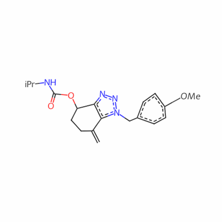 C=C1CCC(OC(=O)NC(C)C)c2nnn(Cc3ccc(OC)cc3)c21